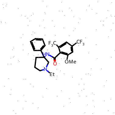 CCN1CCCC(NC(=O)c2c(OC)cc(C(F)(F)F)cc2C(F)(F)F)(c2ccccc2)C1